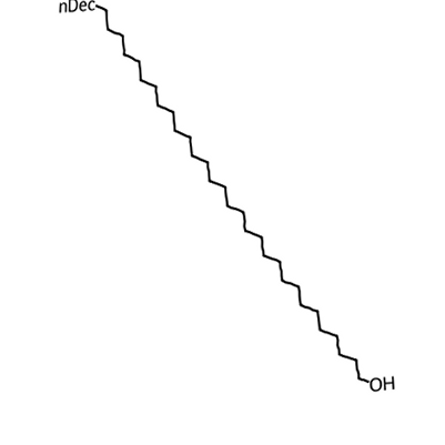 [CH2]CCCCCCCCCCCCCCCCCCCCCCCCCCCCCCCCCCCCCCCO